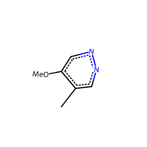 COc1cnncc1C